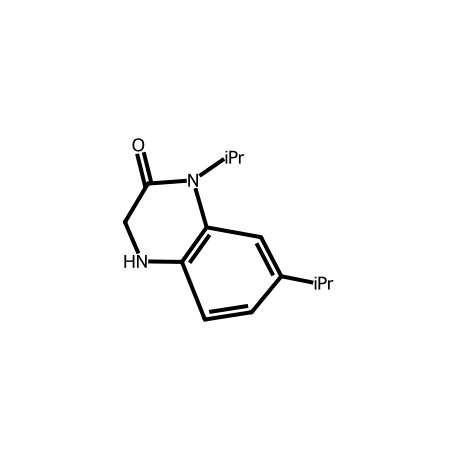 CC(C)c1ccc2c(c1)N(C(C)C)C(=O)CN2